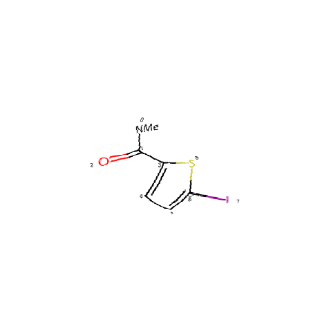 CNC(=O)c1ccc(I)s1